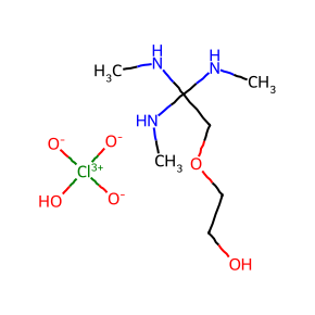 CNC(COCCO)(NC)NC.[O-][Cl+3]([O-])([O-])O